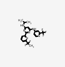 CC(C)Nc1cc(Nc2ccnc(C(F)(F)F)c2)nc(-c2cccc(C(C)(F)F)n2)n1